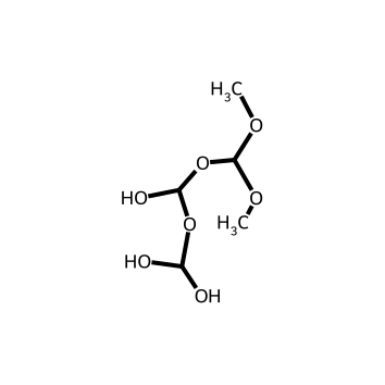 COC(OC)OC(O)OC(O)O